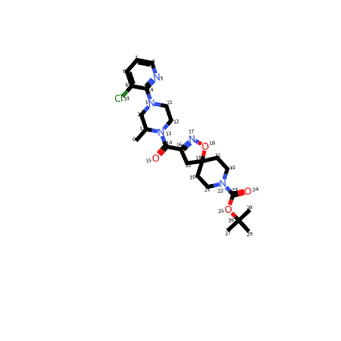 CC1CN(c2ncccc2Cl)CCN1C(=O)C1=NOC2(CCN(C(=O)OC(C)(C)C)CC2)C1